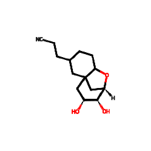 N#CCCC1CCC2O[C@@H]3CC2(C1)C[C@@H](O)[C@H]3O